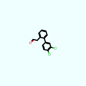 O=CCc1ccccc1-c1ccc(Cl)c(Cl)c1